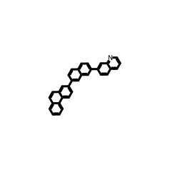 c1cnc2cc(-c3ccc4ccc(-c5ccc6c(ccc7ccccc76)c5)cc4c3)ccc2c1